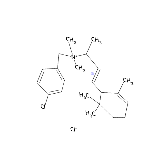 CC1=CCCC(C)(C)C1/C=C/C(C)[N+](C)(C)Cc1ccc(Cl)cc1.[Cl-]